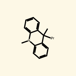 CC(C)C1(C)c2ccccc2N(C)c2ccccc21